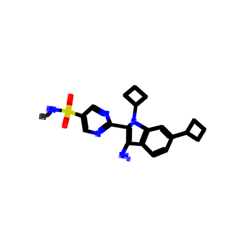 CC(C)NS(=O)(=O)c1cnc(-c2c(N)c3ccc(C4CCC4)cc3n2C2CCC2)nc1